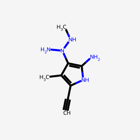 C#Cc1[nH]c(N)c(N(N)NC)c1C